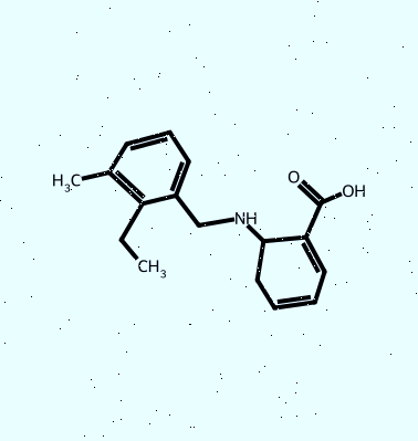 CCc1c(C)cccc1CNC1CC=CC=C1C(=O)O